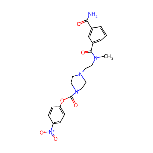 CN(CCN1CCN(C(=O)Oc2ccc([N+](=O)[O-])cc2)CC1)C(=O)c1cccc(C(N)=O)c1